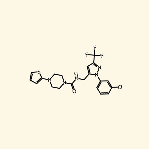 O=C(NCc1cc(C(F)(F)F)nn1-c1cccc(Cl)c1)N1CCN(c2cccs2)CC1